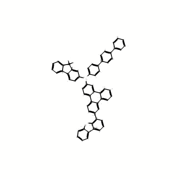 CC1(C)c2ccccc2-c2ccc(N(c3ccc(-c4ccc(-c5ccccc5)cc4)cc3)c3ccc4c5ccc(-c6cccc7c6oc6ccccc67)cc5c5ccccc5c4c3)cc21